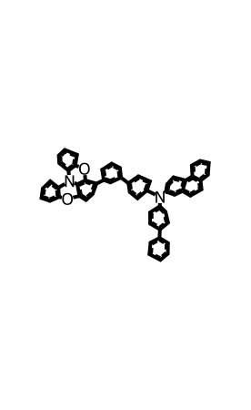 c1ccc(-c2ccc(N(c3ccc(-c4cccc(-c5ccc6c7c5Oc5ccccc5N7c5ccccc5O6)c4)cc3)c3ccc4c(ccc5ccccc54)c3)cc2)cc1